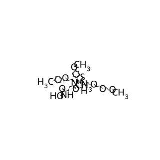 COCCOCCOCCNC(=S)[C@](C)(c1ccc(OC)cc1)N(CCOc1ccc(C)cc1)C(=O)CCC(=O)NO